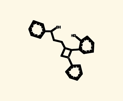 Oc1ccccc1C1C(CCC(O)c2ccccc2)CN1c1ccccc1